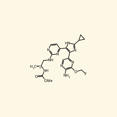 COC(=O)N[C@@H](C)CNc1nccc(-c2[nH]c(C3CC3)nc2-c2cnc(N)c(OCF)n2)n1